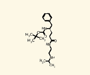 CC(C)NCCNC(=O)CC[C@H](Cc1ccccc1)NC(=O)OC(C)(C)C